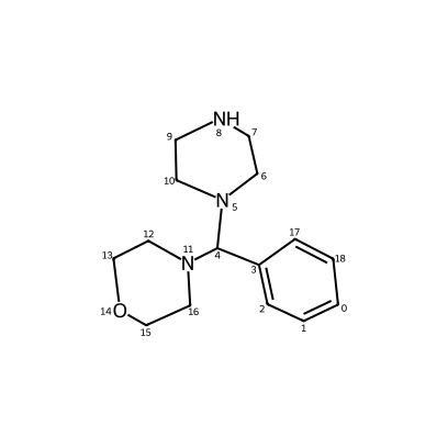 c1ccc(C(N2CCNCC2)N2CCOCC2)cc1